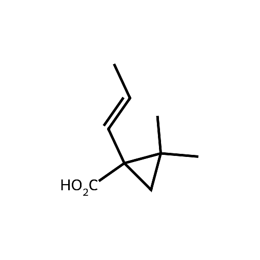 CC=CC1(C(=O)O)CC1(C)C